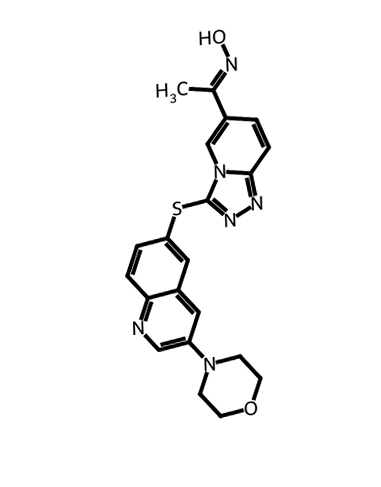 C/C(=N\O)c1ccc2nnc(Sc3ccc4ncc(N5CCOCC5)cc4c3)n2c1